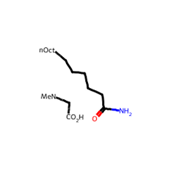 CCCCCCCCCCCCCC(N)=O.CNCC(=O)O